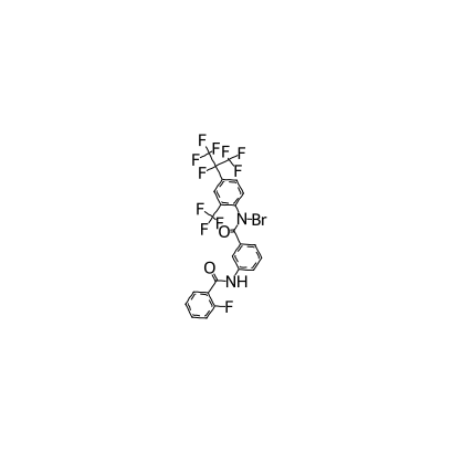 O=C(Nc1cccc(C(=O)N(Br)c2ccc(C(F)(C(F)(F)F)C(F)(F)F)cc2C(F)(F)F)c1)c1ccccc1F